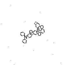 c1ccc(N(c2ccccc2)c2ccc3c(c2)oc2cc4c(cc23)Oc2cccc3c2B4c2cc4c(cc2O3)CC4)cc1